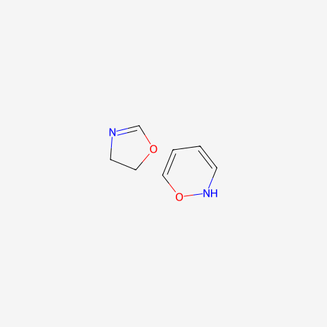 C1=CNOC=C1.C1=NCCO1